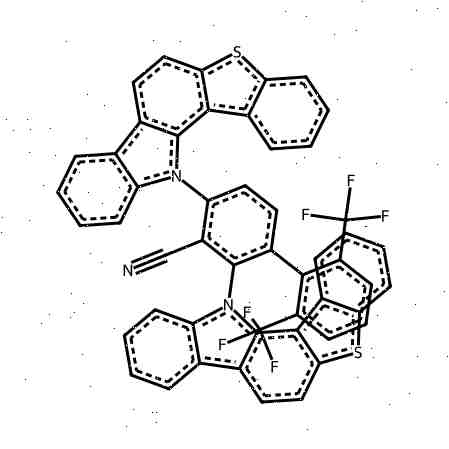 N#Cc1c(-n2c3ccccc3c3ccc4sc5ccccc5c4c32)ccc(-c2c(C(F)(F)F)cccc2C(F)(F)F)c1-n1c2ccccc2c2ccc3sc4ccccc4c3c21